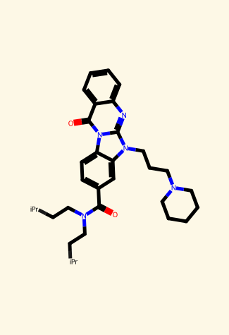 CC(C)CCN(CCC(C)C)C(=O)c1ccc2c(c1)n(CCCN1CCCCC1)c1nc3ccccc3c(=O)n21